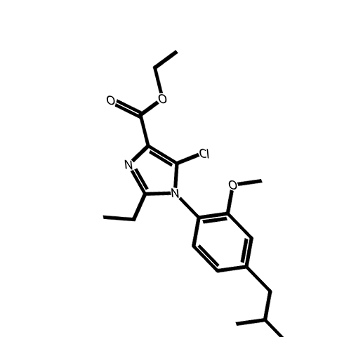 CCOC(=O)c1nc(CC)n(-c2ccc(CC(C)C)cc2OC)c1Cl